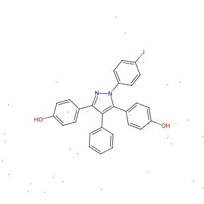 Oc1ccc(-c2nn(-c3ccc(I)cc3)c(-c3ccc(O)cc3)c2-c2ccccc2)cc1